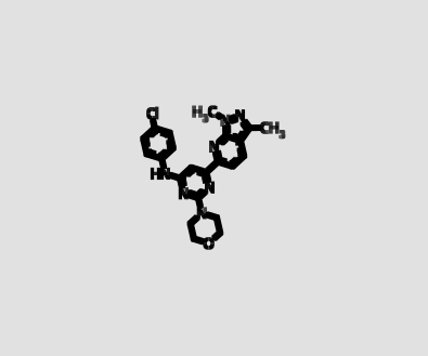 Cc1nn(C)c2nc(-c3cc(Nc4ccc(Cl)cc4)nc(N4CCOCC4)n3)ccc12